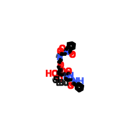 CN(CCOC[C@H]1O[C@@H](n2ccc(NC(=O)c3ccccc3)nc2=O)C(O[Si](C)(C)C(C)(C)C)[C@H]1O)C(=O)CN1C(=O)c2ccccc2C1=O